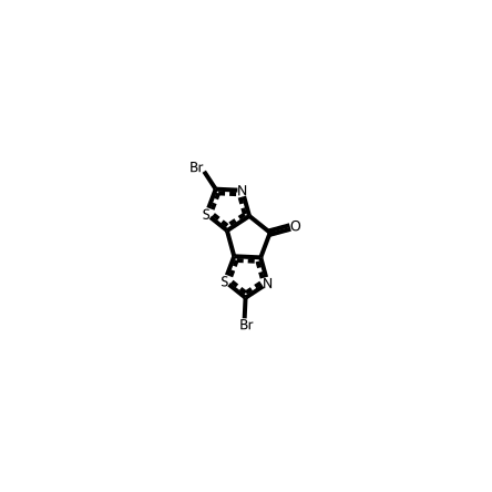 O=C1c2nc(Br)sc2-c2sc(Br)nc21